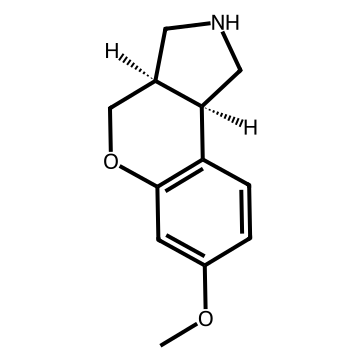 COc1ccc2c(c1)OC[C@H]1CNC[C@@H]21